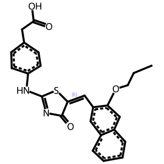 CCCOc1cc2ccccc2cc1/C=C1/SC(Nc2ccc(CC(=O)O)cc2)=NC1=O